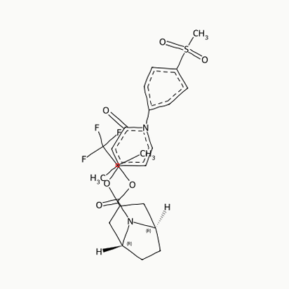 CC(C)(OC(=O)N1[C@@H]2CC[C@@H]1CC(Oc1ccn(-c3ccc(S(C)(=O)=O)cc3)c(=O)c1)C2)C(F)(F)F